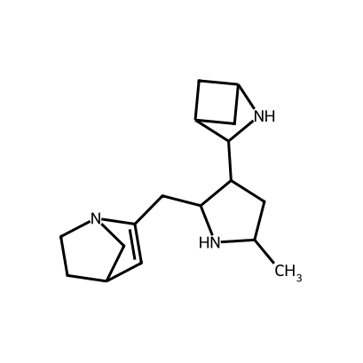 CC1CC(C2NC3CC2C3)C(CC2=CC3CCN2C3)N1